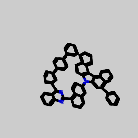 c1ccc(-c2ccc(-c3cccc(-c4nc(-c5cccc6cc(-n7c8ccc9ccccc9c8c8c9ccccc9c(-c9ccccc9)cc87)ccc56)nc5ccccc45)c3)cc2)cc1